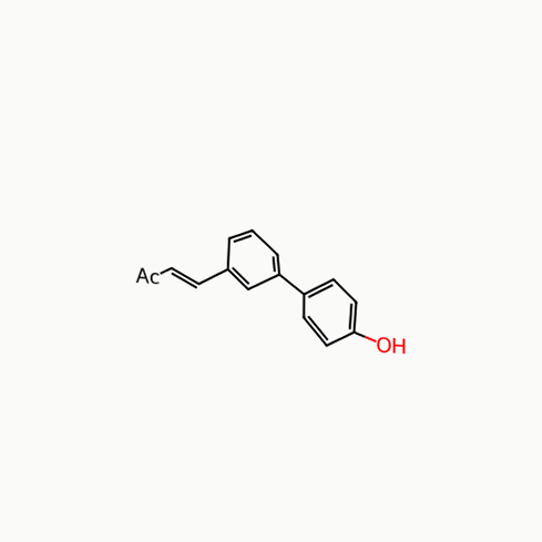 CC(=O)/C=C/c1cccc(-c2ccc(O)cc2)c1